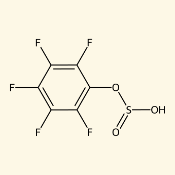 O=S(O)Oc1c(F)c(F)c(F)c(F)c1F